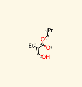 CCC(CO)C(=O)OCC(C)C